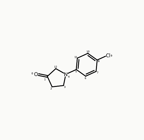 O=C1CCN(c2ccc(Cl)cc2)C1